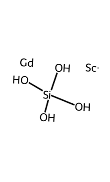 O[Si](O)(O)O.[Gd].[Sc]